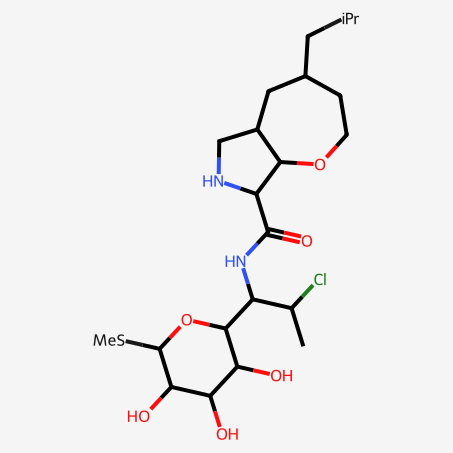 CSC1OC(C(NC(=O)C2NCC3CC(CC(C)C)CCOC32)C(C)Cl)C(O)C(O)C1O